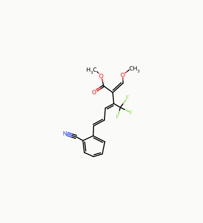 COC=C(C(=O)OC)C(=CC=Cc1ccccc1C#N)C(F)(F)F